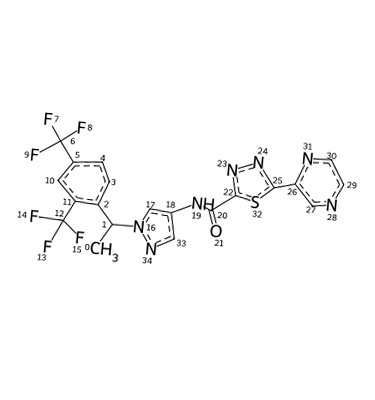 CC(c1ccc(C(F)(F)F)cc1C(F)(F)F)n1cc(NC(=O)c2nnc(-c3cnccn3)s2)cn1